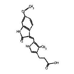 COc1ccc2c(c1)NC(=O)C2=Cc1[nH]cc(CCC(=O)O)c1C